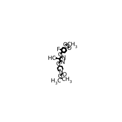 C#Cc1c(Oc2ccc(S(C)(=O)=O)cc2F)ncnc1OC1CCN(C(=O)OC(C)C)CC1